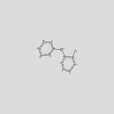 [CH]c1ccccc1Oc1ccccc1